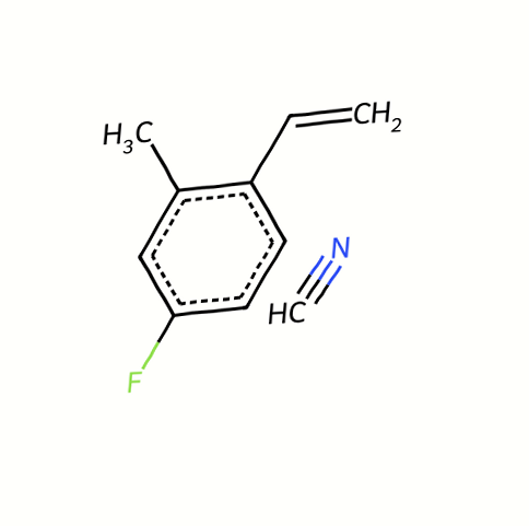 C#N.C=Cc1ccc(F)cc1C